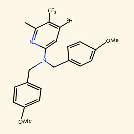 [2H]c1cc(N(Cc2ccc(OC)cc2)Cc2ccc(OC)cc2)nc(C)c1C(F)(F)F